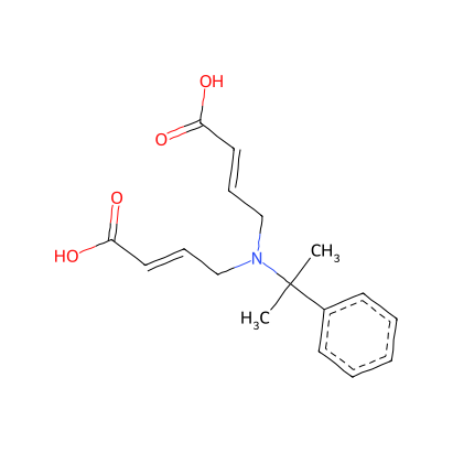 CC(C)(c1ccccc1)N(CC=CC(=O)O)C/C=C/C(=O)O